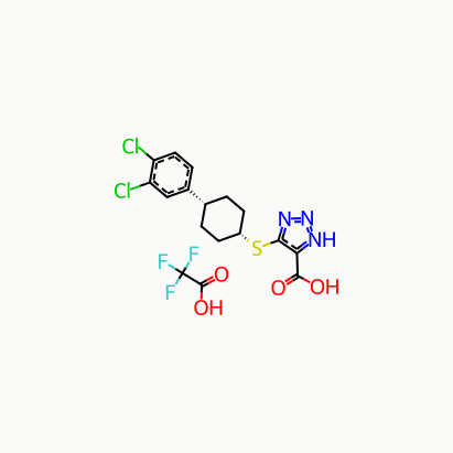 O=C(O)C(F)(F)F.O=C(O)c1[nH]nnc1S[C@H]1CC[C@@H](c2ccc(Cl)c(Cl)c2)CC1